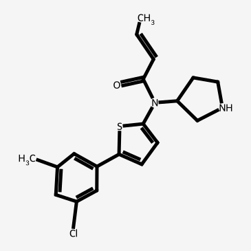 CC=CC(=O)N(c1ccc(-c2cc(C)cc(Cl)c2)s1)C1CCNC1